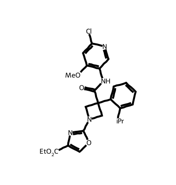 CCOC(=O)c1coc(N2CC(C(=O)Nc3cnc(Cl)cc3OC)(c3ccccc3C(C)C)C2)n1